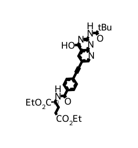 CCOC(=O)CC[C@H](NC(=O)c1ccc(C#Cc2cnc3nc(NC(=O)C(C)(C)C)nc(O)c3c2)cc1)C(=O)OCC